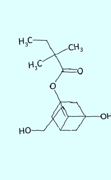 CCC(C)(C)C(=O)OC12CC(CO)=C3C(C1)CC3(O)C2